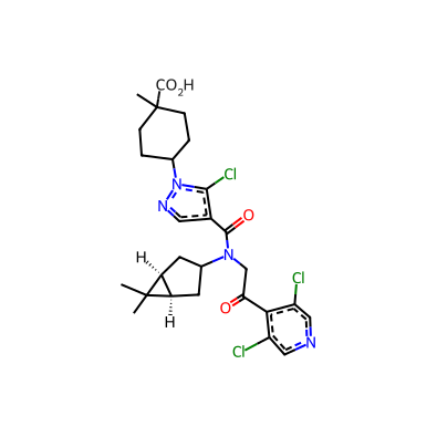 CC1(C(=O)O)CCC(n2ncc(C(=O)N(CC(=O)c3c(Cl)cncc3Cl)C3C[C@@H]4[C@H](C3)C4(C)C)c2Cl)CC1